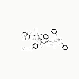 COc1ccc(S(=O)(=O)N(C[C@@H](O)[C@H](Cc2ccccc2)NC(=O)OC2CO[C@H]3OCC[C@@H]23)CC(C)(C)CCOCP(=O)(OCc2ccccc2)OCc2ccccc2)cc1